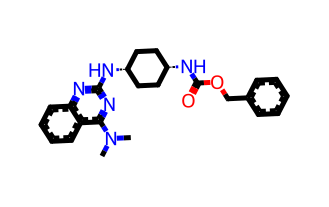 CN(C)c1nc(N[C@H]2CC[C@@H](NC(=O)OCc3ccccc3)CC2)nc2ccccc12